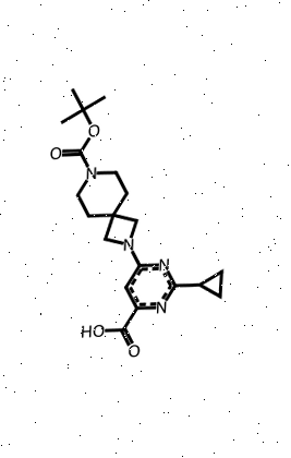 CC(C)(C)OC(=O)N1CCC2(CC1)CN(c1cc(C(=O)O)nc(C3CC3)n1)C2